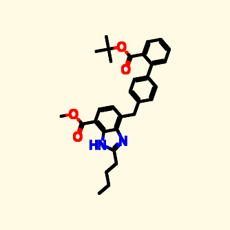 CCCCc1nc2c(Cc3ccc(-c4ccccc4C(=O)OC(C)(C)C)cc3)ccc(C(=O)OC)c2[nH]1